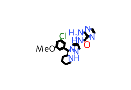 COc1cc(Cl)cc(C([C@@H]2CCCCN2)n2cc(NC(=O)c3nccnc3N)cn2)c1